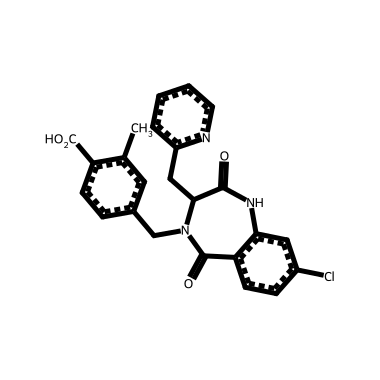 Cc1cc(CN2C(=O)c3ccc(Cl)cc3NC(=O)C2Cc2ccccn2)ccc1C(=O)O